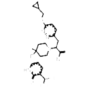 NC(=O)C(Cc1ccc(OCC2CC2)nn1)N1CCC(F)(F)[C@@H](c2c[nH]c(=O)c([C@H](O)C(F)(F)F)c2)C1